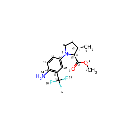 COC(=O)[C@@H]1[C@@H](C)CCN1c1ccc(N)c(C(F)(F)F)c1